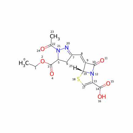 CCOC(=O)C1CC(/C=C2/C(=O)N3C(C(=O)O)=CS[C@H]23)=NN1C(C)=O